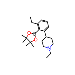 CCc1cccc(C2CCN(CC)CC2)c1B1OC(C)(C)C(C)(C)O1